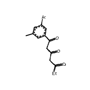 CCC(=O)CC(=O)CC(=O)c1cc(C)cc(C(C)=O)c1